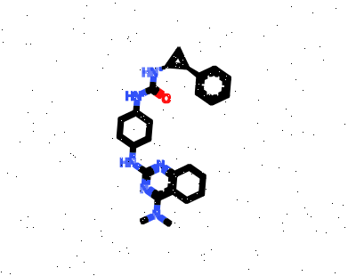 CN(C)c1nc(NC2CCC(NC(=O)N[C@@H]3C[C@H]3c3ccccc3)CC2)nc2c1CCCC2